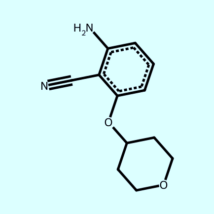 N#Cc1c(N)cccc1OC1CCOCC1